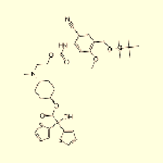 COc1cc(NC(=O)OCCN(C)[C@H]2CC[C@H](OC(=O)C(O)(c3cccs3)c3cccs3)CC2)c(C#N)cc1CO[Si](C)(C)C(C)(C)C